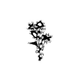 C=C(F)CNC(=O)C(=O)[C@H](CC1CC1)NC(=O)[C@@H]1[C@@H]2[C@H](CN1C(=O)[C@@H](NC(=O)NC1(CS(=O)(=O)C(C)(C)C)CCCCC1)C1(C)CCCCC1)C2(C)C